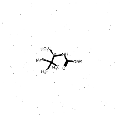 COC(=O)N[C@H](C(=O)O)C(C)(C)SC